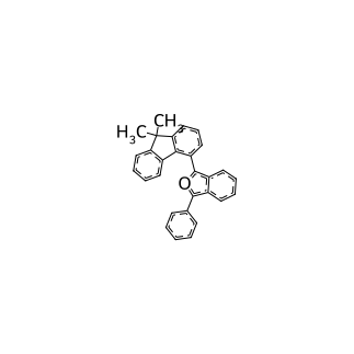 CC1(C)c2ccccc2-c2c(-c3oc(-c4ccccc4)c4ccccc34)cccc21